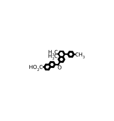 Cc1ccc(C2=CCC(C)(C)c3cc(C(=O)c4ccc5cc(C(=O)O)ccc5c4)ccc32)cc1